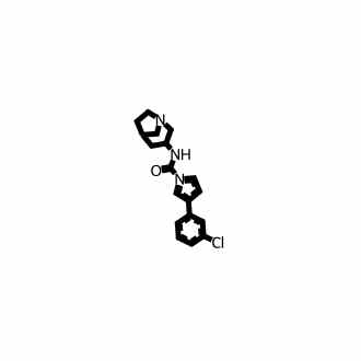 O=C(NC1CC2CCN(C2)C1)n1ccc(-c2cccc(Cl)c2)c1